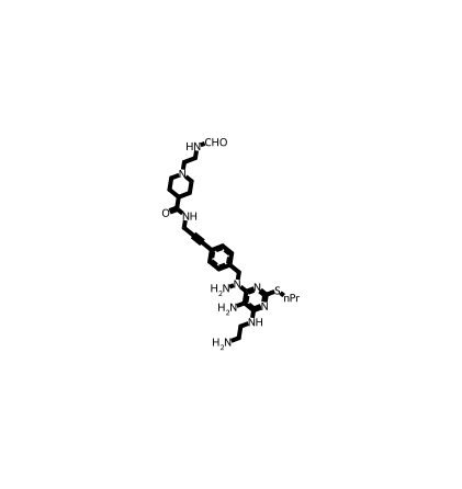 CCCSc1nc(NCCN)c(N)c(N(N)Cc2ccc(C#CCNC(=O)C3CCN(CCNC=O)CC3)cc2)n1